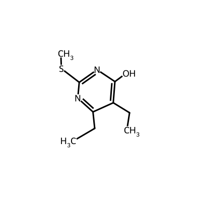 CCc1nc(SC)nc(O)c1CC